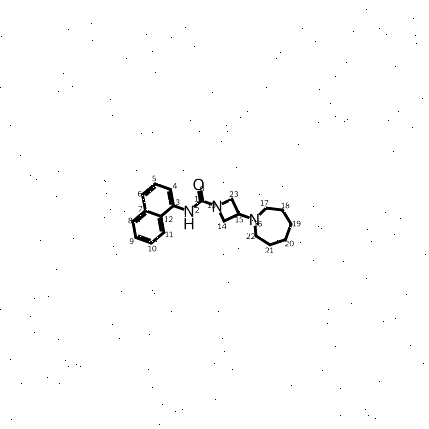 O=C(Nc1cccc2ccccc12)N1CC(N2CCCCCC2)C1